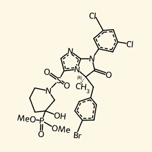 COP(=O)(OC)C1(O)CCCN(S(=O)(=O)c2cnc3n2[C@](C)(Cc2ccc(Br)cc2)C(=O)N3c2cc(Cl)cc(Cl)c2)C1